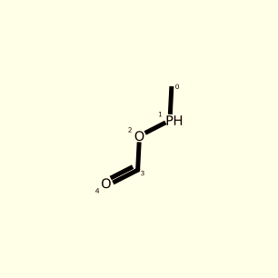 CPOC=O